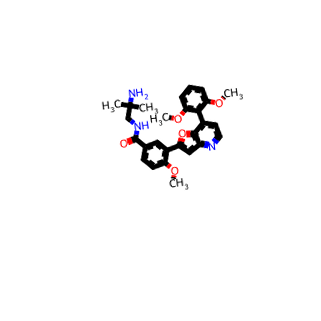 COc1ccc(C(=O)NCC(C)(C)N)cc1-c1cc2nccc(-c3c(OC)cccc3OC)c2o1